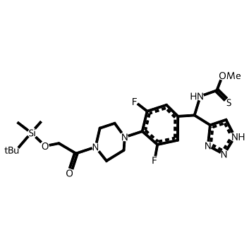 COC(=S)NC(c1cc(F)c(N2CCN(C(=O)CO[Si](C)(C)C(C)(C)C)CC2)c(F)c1)c1c[nH]nn1